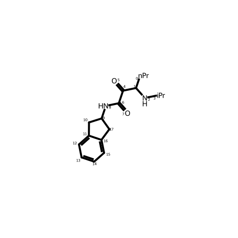 CCCC(NC(C)C)C(=O)C(=O)NC1Cc2ccccc2C1